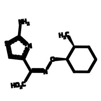 C[C@@H]1CCCC[C@H]1ON=C(C(=O)O)c1csc(N)n1